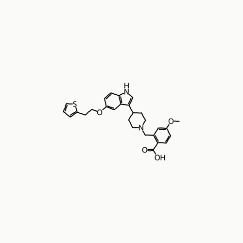 COc1ccc(C(=O)O)c(CN2CCC(c3c[nH]c4ccc(OCCc5cccs5)cc34)CC2)c1